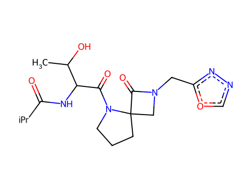 CC(C)C(=O)NC(C(=O)N1CCCC12CN(Cc1nnco1)C2=O)C(C)O